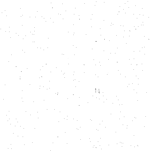 Cc1[c]c[c]n[c]1